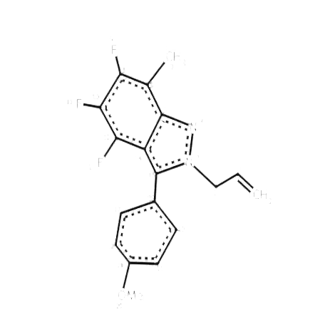 C=CCn1nc2c(C)c(F)c(F)c(F)c2c1-c1ccc(OC)cc1